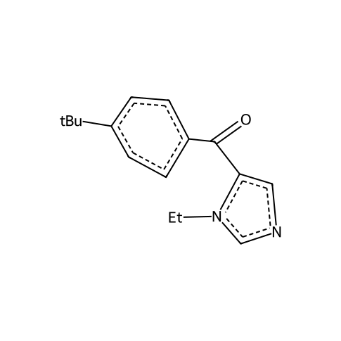 CCn1cncc1C(=O)c1ccc(C(C)(C)C)cc1